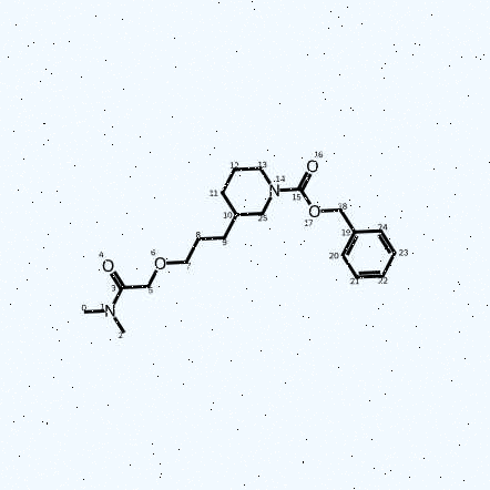 CN(C)C(=O)COCCCC1CCCN(C(=O)OCc2ccccc2)C1